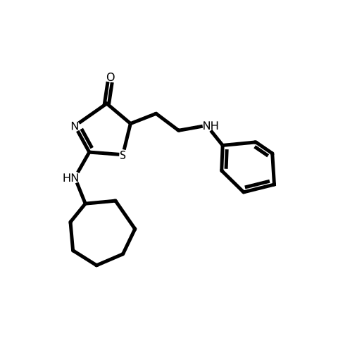 O=C1N=C(NC2CCCCCC2)SC1CCNc1ccccc1